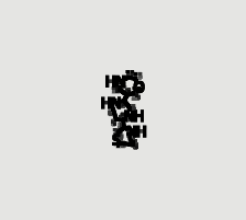 C1CNC(C2CCNC(C3CNCCOC3)CN2)CSC1